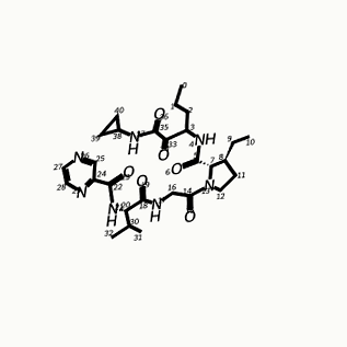 CCCC(NC(=O)[C@@H]1[C@@H](CC)CCN1C(=O)CNC(=O)[C@@H](NC(=O)c1cnccn1)C(C)C)C(=O)C(=O)NC1CC1